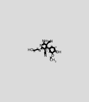 CCOc1cc(-c2c(C#N)c(N)nc(SCCO)c2C#N)ccc1O